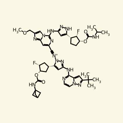 COCc1cn2c(Nc3cc([C@H]4CC[C@@H](OC(=O)NC(C)C)[C@H]4F)[nH]n3)nc(C#[N+]n3nc(Nc4nccn5nc(C(C)(C)C)cc45)cc3[C@H]3C[C@@H](F)[C@@H](OC(=O)NC45CC(C4)C5)C3)cc2n1